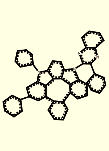 c1ccc(-c2cc3c4ccccc4c4cccc5c4c4c6c3c(c2)n(-c2ccccc2)c6ccc4n5-c2nc3ccccc3nc2-c2ccccc2)cc1